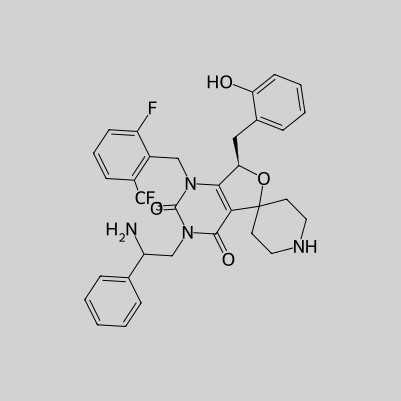 NC(Cn1c(=O)c2c(n(Cc3c(F)cccc3C(F)(F)F)c1=O)[C@@H](Cc1ccccc1O)OC21CCNCC1)c1ccccc1